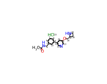 CC(=O)NCc1cccc(-c2cncc(OC[C@@H]3CCN3)c2)c1.Cl